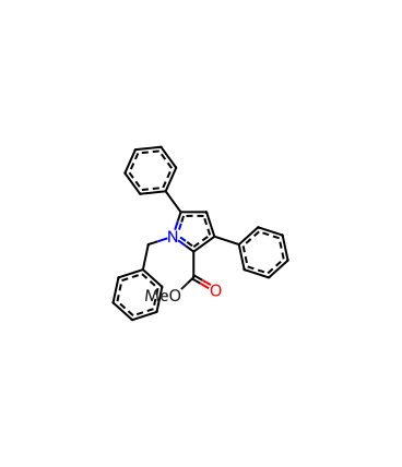 COC(=O)c1c(-c2ccccc2)cc(-c2ccccc2)n1Cc1ccccc1